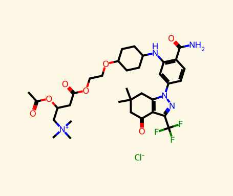 CC(=O)OC(CC(=O)OCCOC1CCC(Nc2cc(-n3nc(C(F)(F)F)c4c3CC(C)(C)CC4=O)ccc2C(N)=O)CC1)C[N+](C)(C)C.[Cl-]